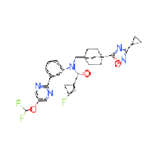 O=C(N(CC12CCC(c3nc(C4CC4)no3)(CC1)CC2)c1cccc(-c2ncc(OC(F)F)cn2)c1)C12CC(F)(C1)C2